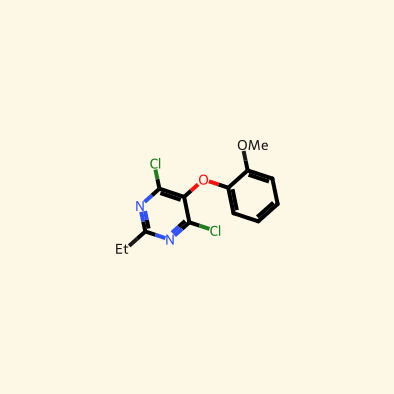 CCc1nc(Cl)c(Oc2ccccc2OC)c(Cl)n1